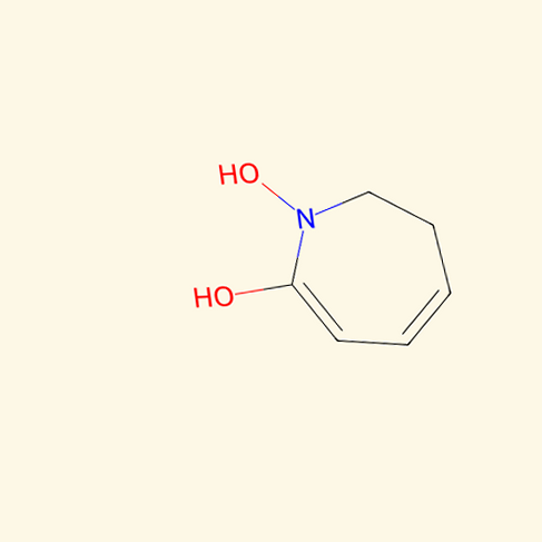 OC1=CC=CCCN1O